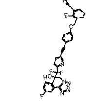 N#Cc1cccc(COc2ccc(C#Cc3ccc(C(F)(F)C4(O)Cn5nnnc5-c5cc(F)ccc54)nc3)cc2)c1F